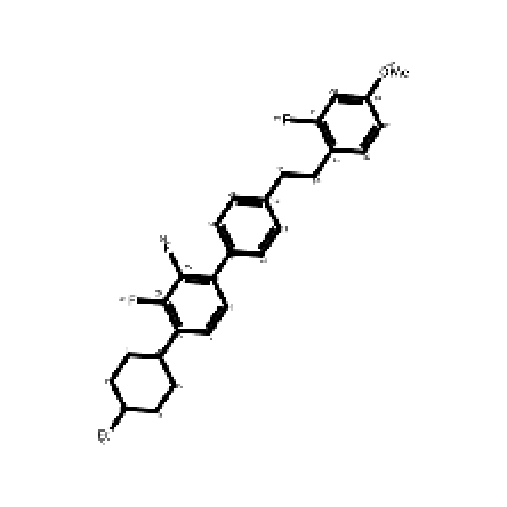 CCC1CCC(c2ccc(-c3ccc(CCc4ccc(OC)cc4F)cc3)c(F)c2F)CC1